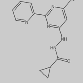 CCc1cc(NNC(=O)C2CC2)nc(-c2ccccn2)n1